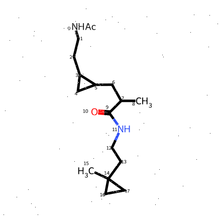 CC(=O)NCCC1CC1CC(C)C(=O)NCCC1(C)CC1